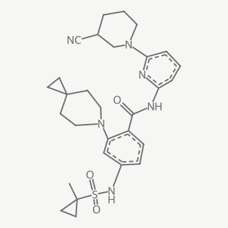 CC1(S(=O)(=O)Nc2ccc(C(=O)Nc3cccc(N4CCCC(C#N)C4)n3)c(N3CCC4(CC3)CC4)c2)CC1